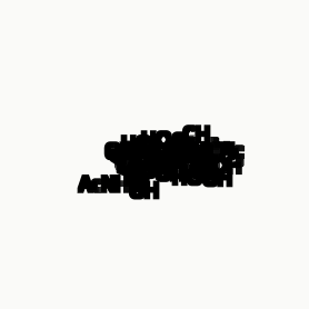 CC(=O)NC1C(O[C@@H]2OC(C)[C@@H](O)C(O)C2O)[C@H](O[C@@H]2OC(CO)[C@H](O)C(O[C@]3(C(=O)O)CC(O)[C@@H](NC(C)=O)C(C[C@H](O)CO)O3)C2O)C(CO)O[C@H]1C